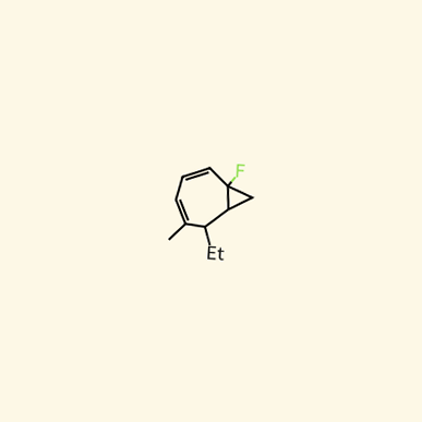 CCC1C(C)=CC=CC2(F)CC12